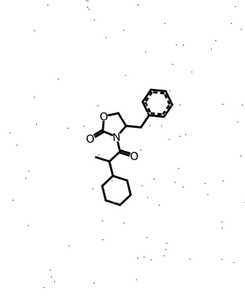 CC(C(=O)N1C(=O)OCC1Cc1ccccc1)C1CCCCC1